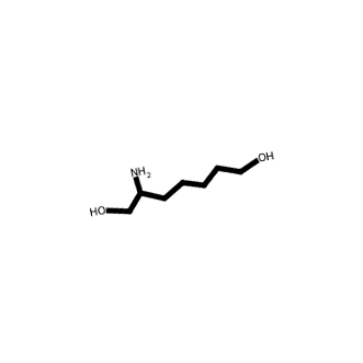 NC(CO)CCCCCO